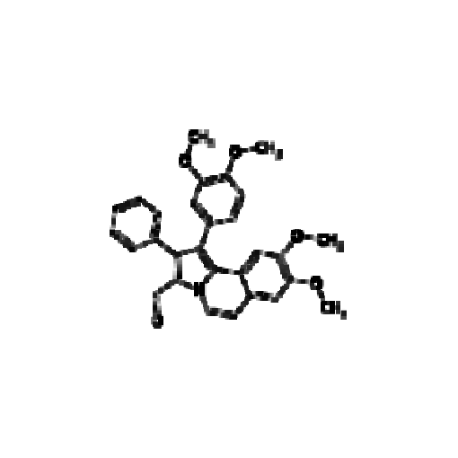 COc1ccc(-c2c(-c3ccccc3)c(C=O)n3ccc4cc(OC)c(OC)cc4c23)cc1OC